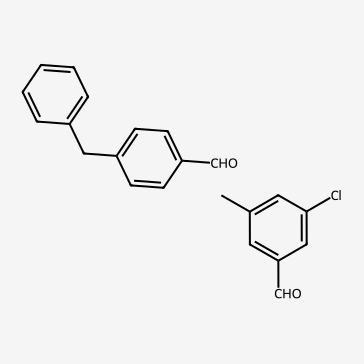 Cc1cc(Cl)cc(C=O)c1.O=Cc1ccc(Cc2ccccc2)cc1